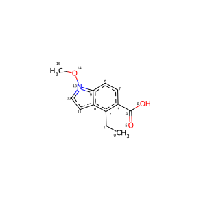 CCc1c(C(=O)O)ccc2c1ccn2OC